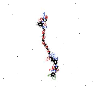 O=C1CCC(N2C(=O)c3cccc(NCCOCCOCCOCCOCCOCCNC(=O)c4cc5cc(N6CCC(O)(C(=O)NCc7cc(F)cc(Cl)c7)C6=O)ccc5[nH]4)c3C2=O)C(=O)N1